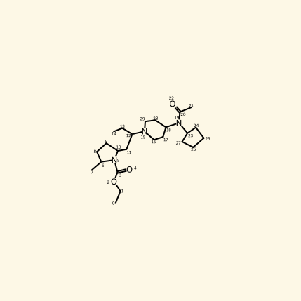 CCOC(=O)N1C(C)CCC1CC(CC)N1CCC(N(C(C)=O)C2CCCC2)CC1